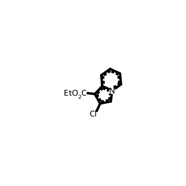 CCOC(=O)c1c(Cl)cn2ccccc12